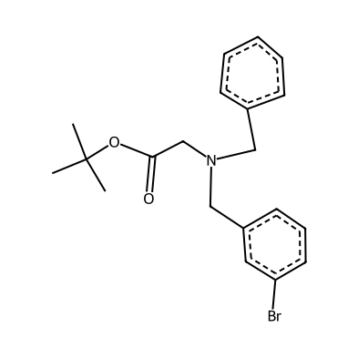 CC(C)(C)OC(=O)CN(Cc1ccccc1)Cc1cccc(Br)c1